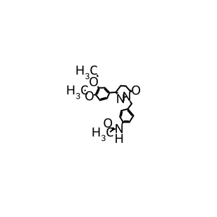 CCOc1cc(C2=NN(Cc3ccc(NC(C)=O)cc3)C(=O)CC2)ccc1OC